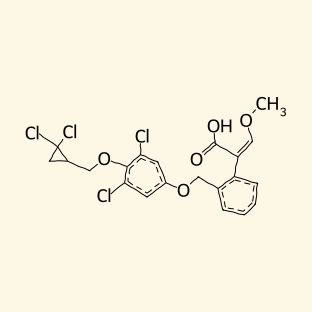 COC=C(C(=O)O)c1ccccc1COc1cc(Cl)c(OCC2CC2(Cl)Cl)c(Cl)c1